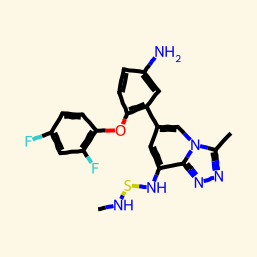 CNSNc1cc(-c2cc(N)ccc2Oc2ccc(F)cc2F)cn2c(C)nnc12